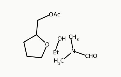 CC(=O)OCC1CCCO1.CCO.CN(C)C=O